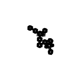 C1=C(c2ccccc2)NC(c2ccc(-c3ccccc3-c3ccc4c(c3)C3(c5ccccc5-4)c4ccccc4N(c4ccccc4)c4ccccc43)cc2)N=C1c1ccc(-c2ccccc2)cc1